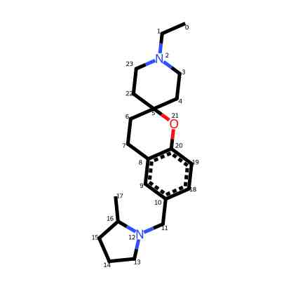 CCN1CCC2(CCc3cc(CN4CCCC4C)ccc3O2)CC1